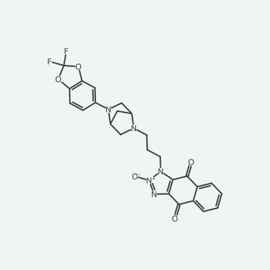 O=C1c2ccccc2C(=O)c2c1n[n+]([O-])n2CCCN1CC2CC1CN2c1ccc2c(c1)OC(F)(F)O2